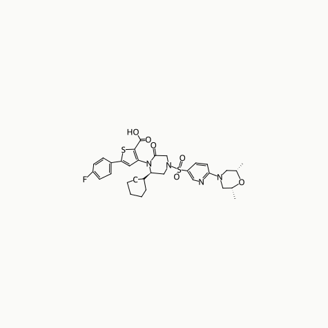 C[C@@H]1CN(c2ccc(S(=O)(=O)N3CC(=O)N(c4cc(-c5ccc(F)cc5)sc4C(=O)O)[C@H](C4CCCCC4)C3)cn2)C[C@H](C)O1